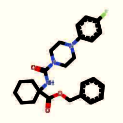 O=C(NC1(C(=O)OCc2ccccc2)CCCCC1)N1CCN(c2ccc(F)cc2)CC1